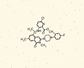 COC(=O)c1nc(Cl)ccc1N[C@H](C)c1cc(C)cc2c(=O)n(C)c(N3CCN(c4ccc(F)cc4)CC3)cc12